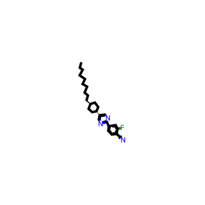 CCCCCCCCCC[C@H]1CC[C@H](c2cnc(-c3ccc(C#N)c(F)c3)nc2)CC1